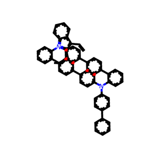 C=Cc1c(/C=C\C)n(-c2ccccc2-c2ccc(-c3ccc(N(c4ccc(-c5ccccc5)cc4)c4ccccc4-c4ccc(-c5ccccc5)cc4)cc3)cc2)c2ccccc12